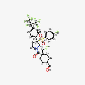 O=CC1CCC(CF)(C(=O)N2CC[C@](c3ccc(C(F)(C(F)(F)F)C(F)(F)F)cc3)(S(=O)(=O)c3ccc(F)cc3)C2)CC1